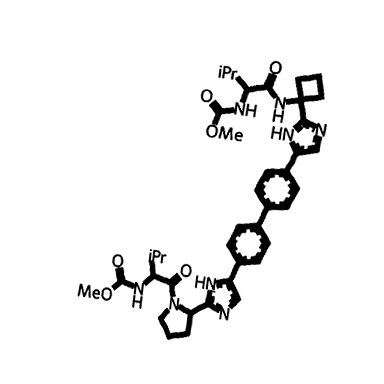 COC(=O)NC(C(=O)NC1(c2ncc(-c3ccc(-c4ccc(-c5cnc(C6CCCN6C(=O)C(NC(=O)OC)C(C)C)[nH]5)cc4)cc3)[nH]2)CCC1)C(C)C